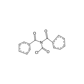 O=C(Cl)N(C(=O)c1ccccc1)C(=O)c1ccccc1